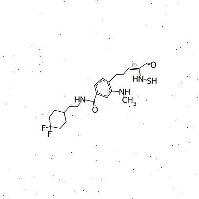 CNc1cc(C(=O)NCCC2CCC(F)(F)CC2)ccc1CC/C=C(/C=O)NS